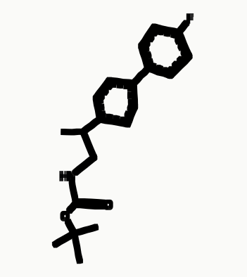 CC(CNC(=O)OC(C)(C)C)c1ccc(-c2ccc(F)cc2)cc1